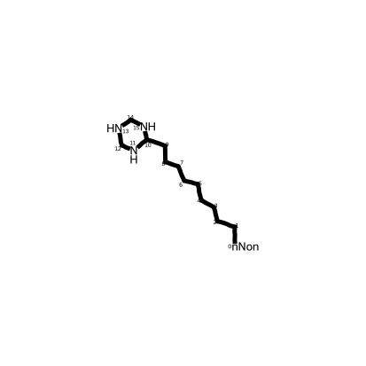 CCCCCCCCCCCCCCCCCCC1NCNCN1